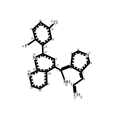 C=C/C=c1/cncc/c1=C(/N)c1cc(-c2cc(Cl)ccc2F)nc2ncccc12